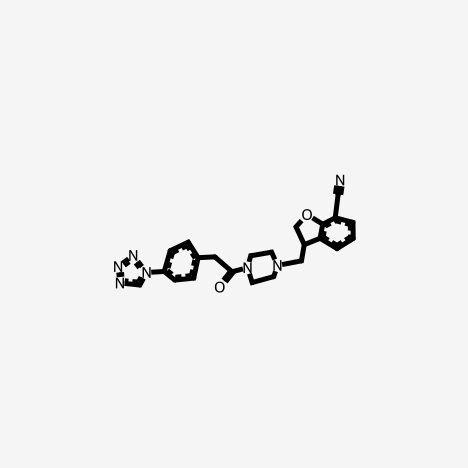 N#Cc1cccc2c1OCC2CN1CCN(C(=O)Cc2ccc(-n3cnnn3)cc2)CC1